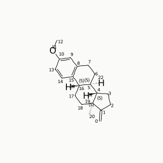 C=C1CC[C@H]2[C@@H]3CCc4cc(OC)ccc4[C@H]3CC[C@]12C